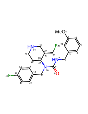 COc1cccc(CNC(=O)N(Cc2ccc(F)cc2)[C@H]2CCNC[C@H]2CF)c1